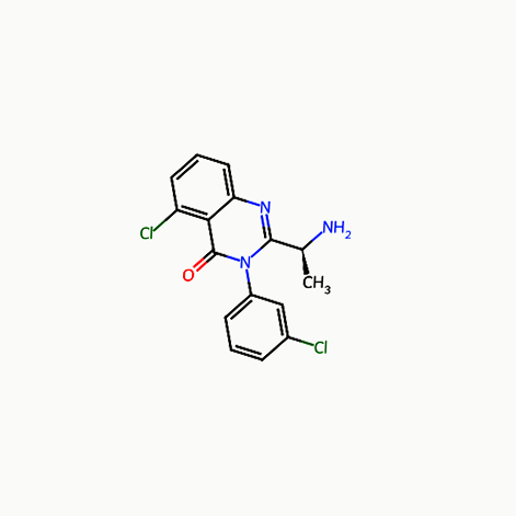 C[C@H](N)c1nc2cccc(Cl)c2c(=O)n1-c1cccc(Cl)c1